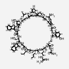 CCCC[C@H]1C(=O)N(C)[C@@H](CCCC)C(=O)N[C@@H](CCCNC(=N)N)C(=O)NC(C(=O)NCC(N)=O)CSCC(=O)N[C@@H](Cc2ccc(O)cc2)C(=O)NC2(CC2)C(=O)N[C@@H](CC(N)=O)C(=O)N2CCC[C@H]2C(=O)N[C@@H](Cc2c[nH]cn2)C(=O)N[C@@H](CC(C)C)C(=O)N2C[C@H](O)C[C@H]2C(=O)N[C@@H](Cc2c[nH]c3ccccc23)C(=O)N[C@@H](CO)C(=O)N[C@@H](Cc2c[nH]c3ccccc23)C(=O)N1C